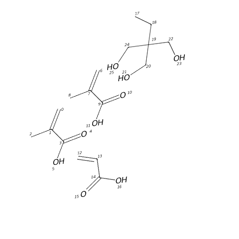 C=C(C)C(=O)O.C=C(C)C(=O)O.C=CC(=O)O.CCC(CO)(CO)CO